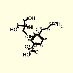 NC(CO)(CO)CO.O=S(=O)(O)c1ccc(CCCP)cc1